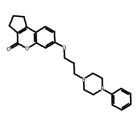 O=c1oc2cc(OCCCN3CCN(c4ccccc4)CC3)ccc2c2c1CCC2